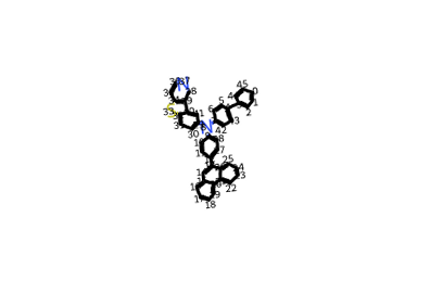 c1ccc(-c2ccc(N(c3ccc(-c4cc5ccccc5c5ccccc45)cc3)c3ccc4sc5ccncc5c4c3)cc2)cc1